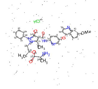 COc1ccc2c(Oc3ccc(NC(=O)c4c(C)n(CC(C)OC(=O)C(C)N)n(-c5ccccc5)c4=O)nc3)ccnc2c1.Cl